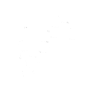 Cc1ccc2c(c1)c(C(=O)N1CCN(c3ccc(C(=O)N(C)C4CCCCC4)cn3)CC1)c(-c1ccccc1)n2C.Cl